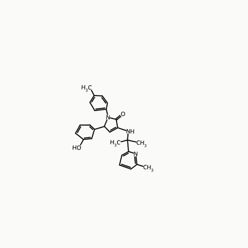 Cc1ccc(N2C(=O)C(NC(C)(C)c3cccc(C)n3)=CC2c2cccc(O)c2)cc1